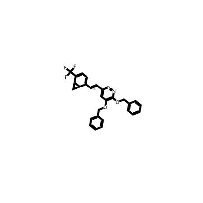 FC(F)(F)C1=CC=C(/C=C/c2cc(OCc3ccccc3)c(OCc3ccccc3)nn2)C2CC12